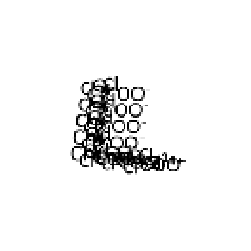 O=C([O-])C(Cl)(Cl)OCl.O=C([O-])C(Cl)(Cl)OCl.O=C([O-])C(Cl)(Cl)OCl.O=C([O-])C(Cl)(Cl)OCl.O=C([O-])C(Cl)(Cl)OCl.O=C([O-])C(Cl)(Cl)OCl.O=C([O-])C(Cl)(Cl)OCl.[Al+3].[Zr+4]